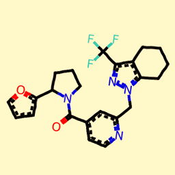 O=C(c1ccnc(Cn2nc(C(F)(F)F)c3c2CCCC3)c1)N1CCCC1c1ccco1